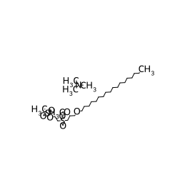 CCCCCCCCCCCCCCCCCCOCC(CS(=O)(=O)CCOS(C)(=O)=O)OC.CN(C)C